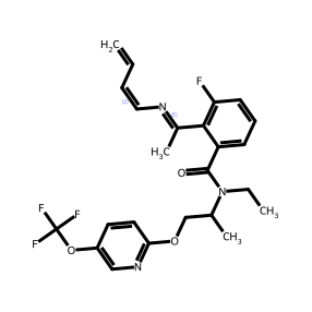 C=C/C=C\N=C(/C)c1c(F)cccc1C(=O)N(CC)C(C)COc1ccc(OC(F)(F)F)cn1